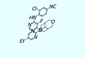 [C-]#[N+]c1ccc(Nc2ncnc(OC3C4COCC3CN(c3ncc(CC)cn3)C4)c2F)c(Cl)c1